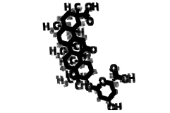 CC1(C)[C@@H](OC2C[C@@H](O)C[C@@H](C(=O)O)O2)CC[C@]2(C)[C@H]3C(=O)C=C4[C@@H]5C[C@@](C)(C(=O)O)CC[C@]5(C)CC[C@@]4(C)[C@]3(C)CC[C@@H]12